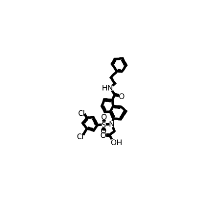 O=C(O)CN(c1cccc2c(C(=O)NCCc3ccccc3)cccc12)S(=O)(=O)c1cc(Cl)cc(Cl)c1